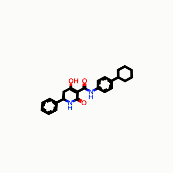 O=C(Nc1ccc(C2CCCCC2)cc1)C1=C(O)CC(c2ccccc2)NC1=O